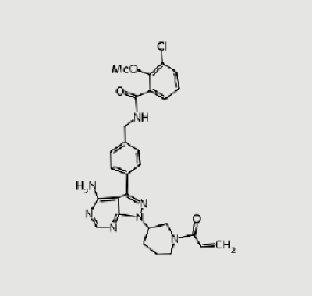 C=CC(=O)N1CCCC(n2nc(-c3ccc(CNC(=O)c4cccc(Cl)c4OC)cc3)c3c(N)ncnc32)C1